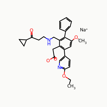 CCOc1ccc(-c2cc(OC)c(-c3ccccc3)c(CNCCC(=O)C3CC3)c2CC(=O)[O-])cn1.[Na+]